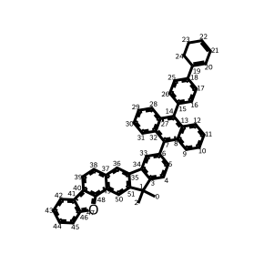 CC1(C)c2ccc(-c3c4ccccc4c(-c4ccc(C5=CC=CCC5)cc4)c4ccccc34)cc2-c2cc3ccc4c5ccccc5oc4c3cc21